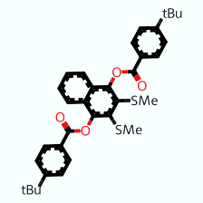 CSc1c(SC)c(OC(=O)c2ccc(C(C)(C)C)cc2)c2ccccc2c1OC(=O)c1ccc(C(C)(C)C)cc1